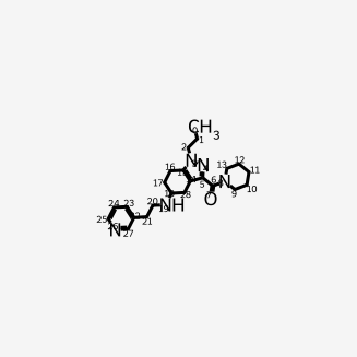 CCCn1nc(C(=O)N2CCCCC2)c2c1CCC(NCCc1cccnc1)C2